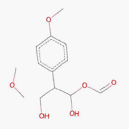 COC.COc1ccc(C(CO)C(O)OC=O)cc1